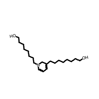 OCCCCCCCCC1=CC=CN(CCCCCCCCO)C1